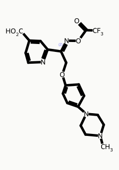 CN1CCN(c2ccc(OC/C(=N\OC(=O)C(F)(F)F)c3cc(C(=O)O)ccn3)cc2)CC1